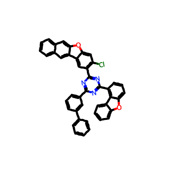 Clc1cc2oc3cc4ccccc4cc3c2cc1-c1nc(-c2cccc(-c3ccccc3)c2)nc(-c2cccc3oc4ccccc4c23)n1